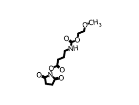 COCCOC(=O)NCCCC(=O)ON1C(=O)CCC1=O